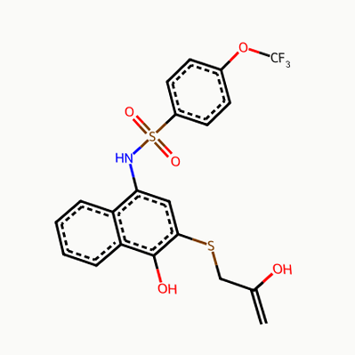 C=C(O)CSc1cc(NS(=O)(=O)c2ccc(OC(F)(F)F)cc2)c2ccccc2c1O